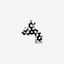 CCOc1cc(C(C)N2CCc3c(cc(Cn4ccnc4C)cc3-c3nn(C)c(=O)cc3C(F)(F)F)C2=O)ncc1C#N